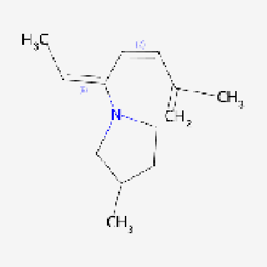 C=C(C)/C=C\C(=C/C)N1CCC(C)C1